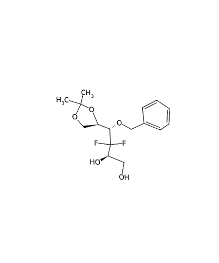 CC1(C)OC[C@H]([C@H](OCc2ccccc2)C(F)(F)[C@H](O)CO)O1